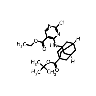 CCOC(=O)c1cnc(Cl)nc1NC12C[C@H]3C[C@@H](C1)CC(C(=O)OC(C)(C)C)(C3)C2